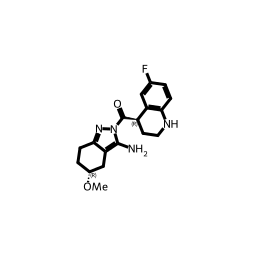 CO[C@@H]1CCc2nn(C(=O)[C@@H]3CCNc4ccc(F)cc43)c(N)c2C1